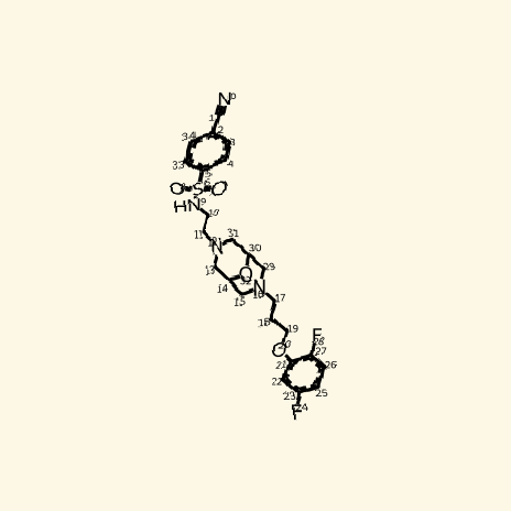 N#Cc1ccc(S(=O)(=O)NCCN2CC3CN(CCCOc4cc(F)ccc4F)CC(C2)O3)cc1